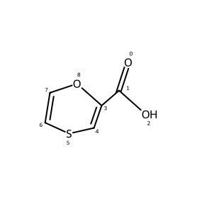 O=C(O)C1=CSC=CO1